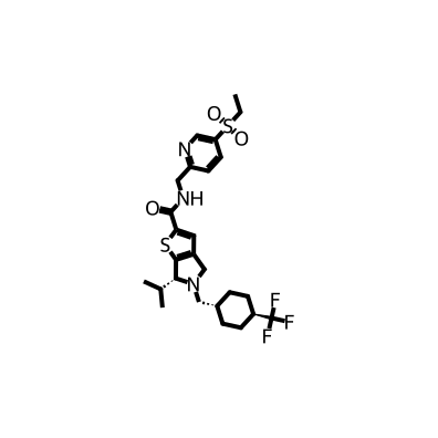 CCS(=O)(=O)c1ccc(CNC(=O)c2cc3c(s2)[C@@H](C(C)C)N(C[C@H]2CC[C@H](C(F)(F)F)CC2)C3)nc1